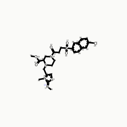 C/N=c1\scc(CN2CCN(C(=O)CCS(=O)(=O)c3ccc4cc(Cl)ccc4c3)CC2C(=O)OC)n1C